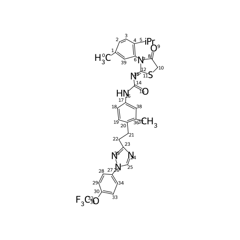 Cc1ccc(C(C)C)c(N2C(=O)CSC2=NC(=O)Nc2ccc(CCc3ncn(-c4ccc(OC(F)(F)F)cc4)n3)c(C)c2)c1